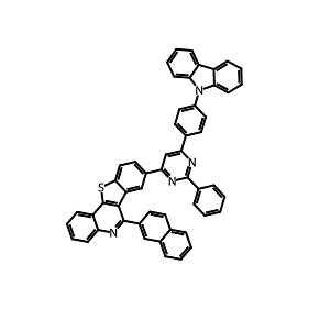 c1ccc(-c2nc(-c3ccc(-n4c5ccccc5c5ccccc54)cc3)cc(-c3ccc4sc5c6ccccc6nc(-c6ccc7ccccc7c6)c5c4c3)n2)cc1